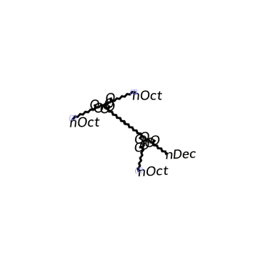 CCCCCCCC/C=C\CCCCCCCC(=O)OCC(COC(=O)CCCCCCC/C=C\CCCCCCCC)OC(=O)CCCCCCCC=CCCCCCCCC(=O)OC(COC(=O)CCCCCCC/C=C\CCCCCCCC)COC(=O)CCCCCCCCCCCCCCCCC